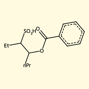 CCCC(OC(=O)c1ccccc1)C(CC)S(=O)(=O)O